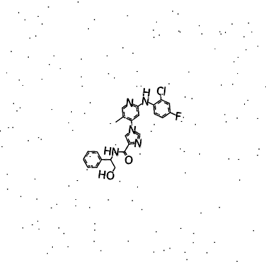 Cc1cnc(Nc2ccc(F)cc2Cl)cc1-n1cnc(C(=O)NC(CO)c2ccccc2)c1